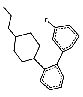 CCCC1CCC(c2ccccc2-c2cccc(F)c2)CC1